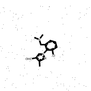 Cc1nn(-c2c(Cl)cccc2CN(C)C)cc1C=O